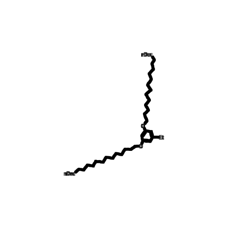 CCCCCCCCCCCCCCCCCCCCCCCOc1cc(CC)cc(OCCCCCCCCCCCCCCCCCCCCCCC)c1